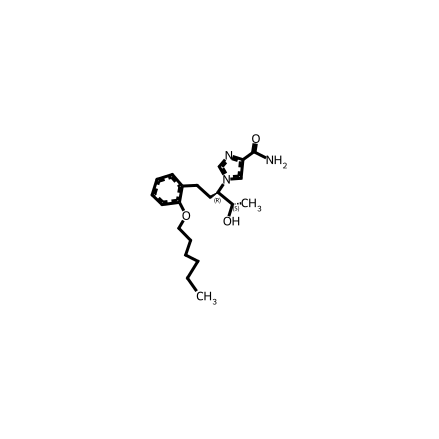 CCCCCCOc1ccccc1CC[C@H]([C@H](C)O)n1cnc(C(N)=O)c1